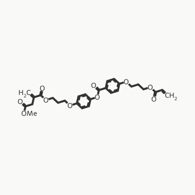 C=CC(=O)OCCCOc1ccc(C(=O)Oc2ccc(OCCCOC(=O)C(=C)CC(=O)OC)cc2)cc1